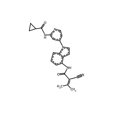 CC(C)=C(C#N)C(=O)Nc1cccc2c1ccn2-c1ccnc(NC(=O)C2CC2)c1